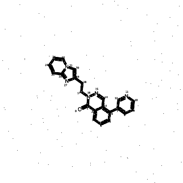 O=c1c2cccc(-c3cccnc3)c2cnn1CCc1cn2ccccc2n1